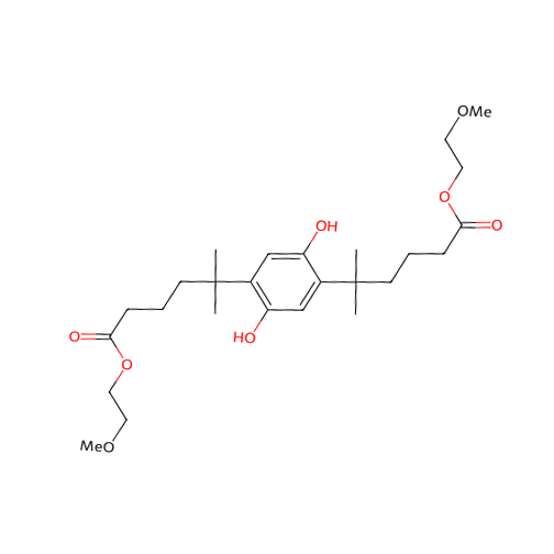 COCCOC(=O)CCCC(C)(C)c1cc(O)c(C(C)(C)CCCC(=O)OCCOC)cc1O